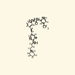 O=C(Nc1cccc(C#Cc2cnc(NCCCN3CCCCC3)nc2)c1)Nc1cc(C(F)(F)F)ccn1